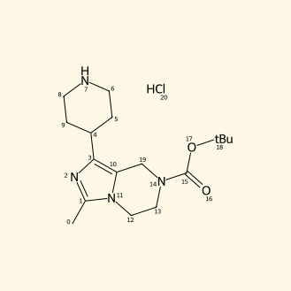 Cc1nc(C2CCNCC2)c2n1CCN(C(=O)OC(C)(C)C)C2.Cl